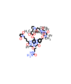 CC[C@H](C)C([C@@H](CC(=O)N1CCC[C@H]1[C@H](OC)[C@@H](C)C(=O)C(=O)OCc1ccccc1)OC)N(C)C(=O)[C@@H](NC(=O)[C@H](C(C)C)N(C)C(=O)OCc1ccc(NC(=O)[C@H](CCCNC(N)=O)NC(=O)C(NC(=O)CCCCCN2C(=O)C=CC2=O)C(C)C)cc1)C(C)C